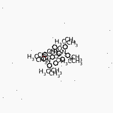 Cc1ccccc1-c1c(N(c2ccc(C(C)(C)C)cc2)c2ccc(C(C)(C)C)cc2)cc2c(c1C)-c1c(cc(N(c3ccc(C(C)(C)C)cc3)c3ccc(C(C)(C)C)cc3)c3oc4ccccc4c13)C21c2ccccc2-c2ccccc21